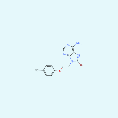 N#Cc1ccc(OCCn2c(Br)nc3c(N)ncnc32)cc1